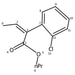 CC=C(C(=O)OCCC)c1ccccc1Cl